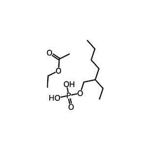 CCCCC(CC)COP(=O)(O)O.CCOC(C)=O